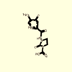 O=C(NN1CCN(C(=O)O)C1=O)c1cc(=O)c(O)c[nH]1